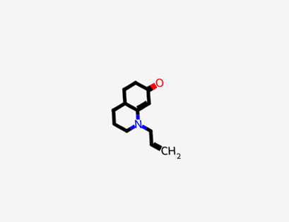 C=CCN1CCCC2CCC(=O)C=C21